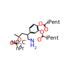 CCCC(=O)OC(C)CC(c1ccc(OC(=O)C(C)CCC)c(OC(=O)C(C)CCC)c1)[C@H](N)C(=O)O